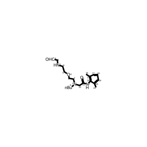 CCCCN(CCOCCNCC=O)CC(=O)Nc1c(C)cccc1C